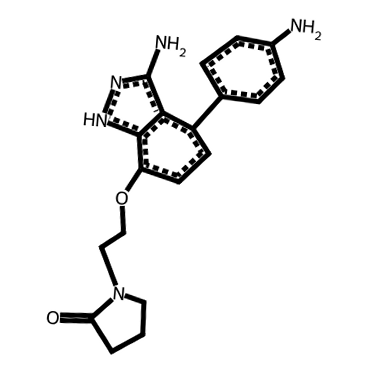 Nc1ccc(-c2ccc(OCCN3CCCC3=O)c3[nH]nc(N)c23)cc1